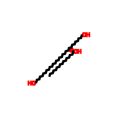 CCCCCCCCCCCCCCCC(=O)O.OCCCCCCCCCCCCCCCCCCCCCCCCCCCCCCO